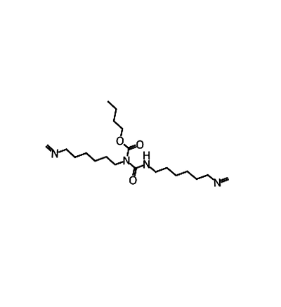 C=NCCCCCCNC(=O)N(CCCCCCN=C)C(=O)OCCCC